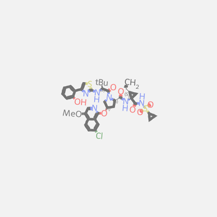 C=C[C@@H]1C[C@]1(NC(=O)[C@@H]1C[C@@H](Oc2ncc(OC)c3ccc(Cl)cc23)CN1C(=O)[C@@H](Nc1nc(-c2ccccc2O)cs1)C(C)(C)C)C(=O)NS(=O)(=O)C1CC1